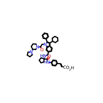 O=C(O)C=Cc1ccc(NC(=O)C2(NC(=O)c3ccc4c(C5CCCCC5)c(-c5ccccc5)n(CC(=O)N5CCCC(N6CCCC6)C5)c4c3)CCCC2)cc1